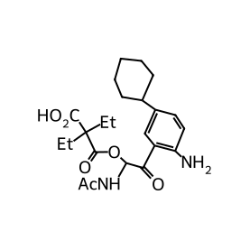 CCC(CC)(C(=O)O)C(=O)OC(NC(C)=O)C(=O)c1cc(C2CCCCC2)ccc1N